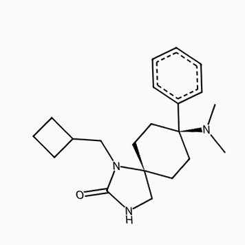 CN(C)[C@]1(c2ccccc2)CC[C@@]2(CC1)CNC(=O)N2CC1CCC1